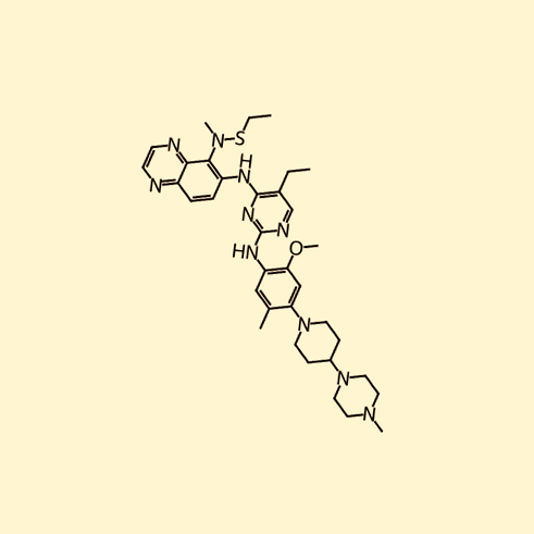 CCSN(C)c1c(Nc2nc(Nc3cc(C)c(N4CCC(N5CCN(C)CC5)CC4)cc3OC)ncc2CC)ccc2nccnc12